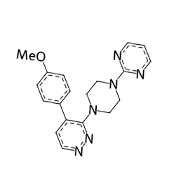 COc1ccc(-c2ccnnc2N2CCN(c3ncccn3)CC2)cc1